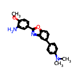 COc1ccc(-c2nc3cc(-c4ccc(N(C)C)cc4)ccc3o2)cc1N